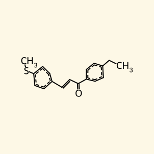 CCc1ccc(C(=O)C=Cc2ccc(SC)cc2)cc1